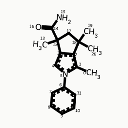 Cc1c2c(cn1-c1ccccc1)C(C)(C(N)=O)CC2(C)C